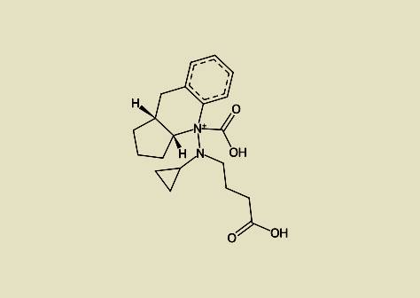 O=C(O)CCCN(C1CC1)[N+]1(C(=O)O)c2ccccc2C[C@H]2CCC[C@H]21